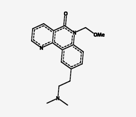 COCn1c(=O)c2cccnc2c2cc(CCN(C)C)ccc21